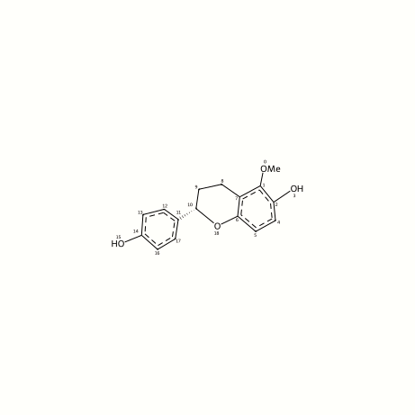 COc1c(O)ccc2c1CC[C@@H](c1ccc(O)cc1)O2